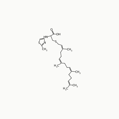 CC(C)=CCCC(C)=CCCC(C)=CCCC(C)=CCSCC(Nc1csc(C)n1)C(=O)O